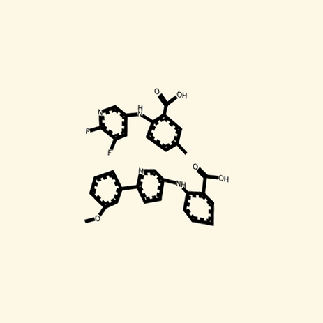 COc1cccc(-c2ccc(Nc3ccccc3C(=O)O)cn2)c1.Cc1ccc(Nc2cnc(F)c(F)c2)c(C(=O)O)c1